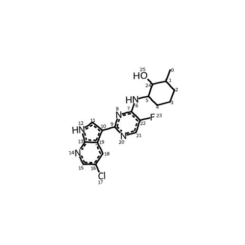 C[C]1CCCC(Nc2nc(-c3c[nH]c4ncc(Cl)cc34)ncc2F)C1O